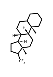 C[C@]12CCCCC1CC[C@@H]1[C@H]2CC[C@]2(C)C(C(F)(F)F)CC[C@@H]12